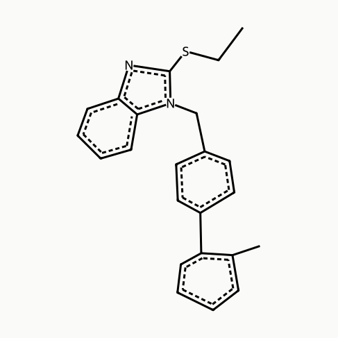 CCSc1nc2ccccc2n1Cc1ccc(-c2ccccc2C)cc1